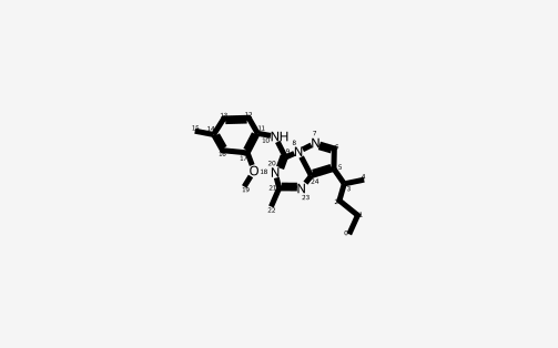 CCCC(C)c1cnn2c(Nc3ccc(C)cc3OC)nc(C)nc12